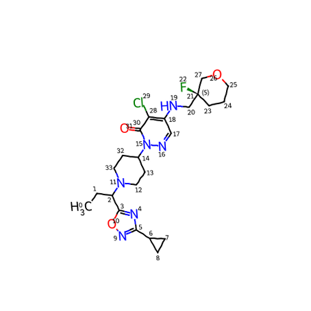 CCC(c1nc(C2CC2)no1)N1CCC(n2ncc(NC[C@@]3(F)CCCOC3)c(Cl)c2=O)CC1